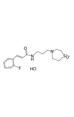 Cl.O=C(C=Cc1ccccc1F)NCCCN1CC[S+]([O-])CC1